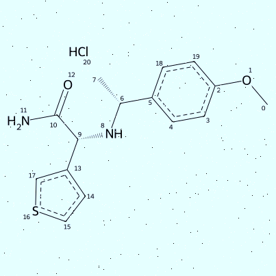 COc1ccc([C@@H](C)N[C@@H](C(N)=O)c2ccsc2)cc1.Cl